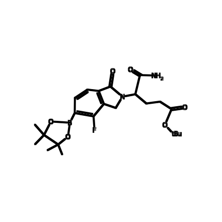 CC(C)(C)OC(=O)CCC(C(N)=O)N1Cc2c(ccc(B3OC(C)(C)C(C)(C)O3)c2F)C1=O